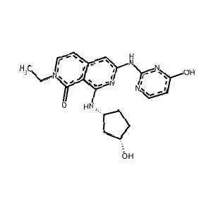 CCn1ccc2cc(Nc3nccc(O)n3)nc(N[C@@H]3CC[C@H](O)C3)c2c1=O